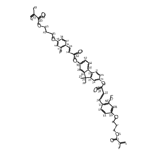 C=C(C)C(=O)OCCCOc1ccc(C=CC(=O)Oc2ccc3c(c2)C(C)(C)c2cc(OC(=O)C=Cc4ccc(OCCCOC(=O)C(=C)C)cc4F)ccc2-3)c(F)c1